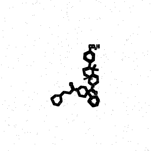 CC1(C)C(c2ccc(C(=O)O)cc2)=CC[C@]2(C)CN(C(=O)C3(c4ccccc4)CCN(C(=O)CCC4CCCCC4)CC3)CC=C12